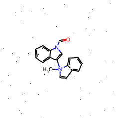 C[N+]1(c2cn(C=O)c3ccccc23)C=[C]c2ccccc21